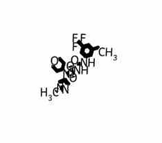 CCc1cc(NC(=O)NS(=O)(=O)N(c2cnn(C)c2)C2CCOCC2)cc(C(F)(F)F)c1